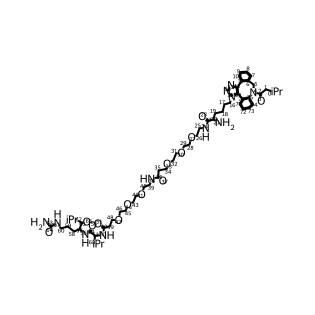 CC(C)CC(=O)N1Cc2ccccc2-c2nnn(CCCCC(N)C(=O)NCCOCCOCCOCCC(=O)NCCOCCOCCOCCC(=O)NC(C(=O)NC(CCCNC(N)=O)C(=O)C(C)C)C(C)C)c2-c2ccccc21